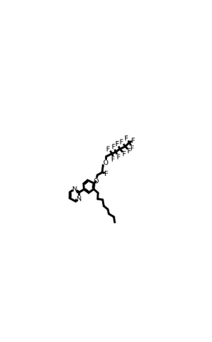 CCCCCCCCc1cc(-c2ncccn2)ccc1OCC(F)COCC(F)(F)C(F)(F)C(F)(F)C(F)(F)C(F)(F)F